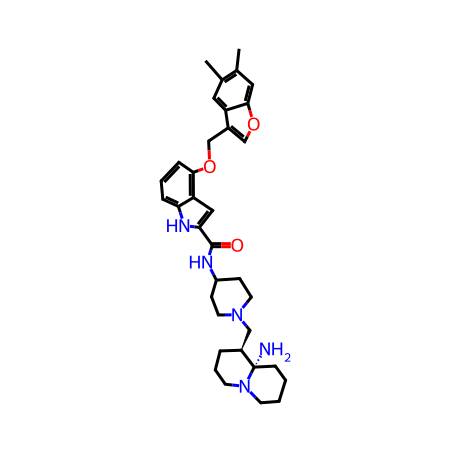 Cc1cc2occ(COc3cccc4[nH]c(C(=O)NC5CCN(C[C@@H]6CCCN7CCCC[C@]67N)CC5)cc34)c2cc1C